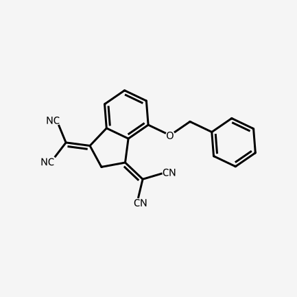 N#CC(C#N)=C1CC(=C(C#N)C#N)c2c(OCc3ccccc3)cccc21